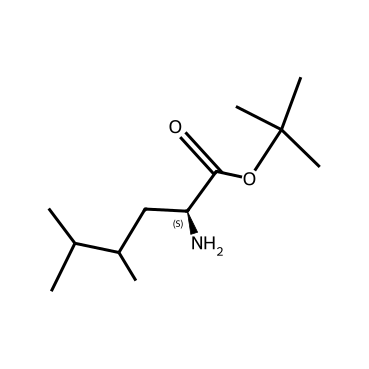 CC(C)C(C)C[C@H](N)C(=O)OC(C)(C)C